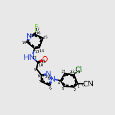 N#Cc1ccc(-n2ccc(CC(=O)Nc3ccc(F)nc3)n2)cc1Cl